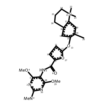 CNc1nc(OC)c(NC(=O)c2ccc(Oc3cc4c(cc3C)[Si](C)(C)CCC4)o2)c(OC)n1